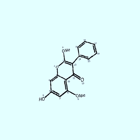 COc1oc2cc(O)cc(OC)c2c(=O)c1-c1ccccc1